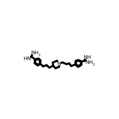 N=C(N)c1ccc(CCCCN2CCC(CCCc3ccc(C(=N)N)cc3)CC2)cc1